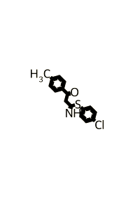 Cc1ccc(C(=O)CC(=N)Sc2ccc(Cl)cc2)cc1